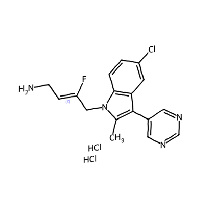 Cc1c(-c2cncnc2)c2cc(Cl)ccc2n1C/C(F)=C/CN.Cl.Cl